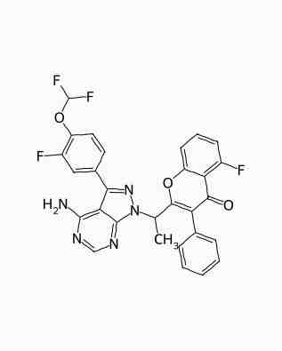 CC(c1oc2cccc(F)c2c(=O)c1-c1ccccc1)n1nc(-c2ccc(OC(F)F)c(F)c2)c2c(N)ncnc21